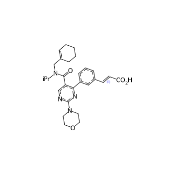 CC(C)N(CC1=CCCCC1)C(=O)c1cnc(N2CCOCC2)nc1-c1cccc(/C=C/C(=O)O)c1